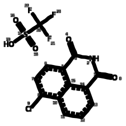 O=C1NC(=O)c2ccc(Cl)c3cccc1c23.O=S(=O)(O)C(F)(F)F